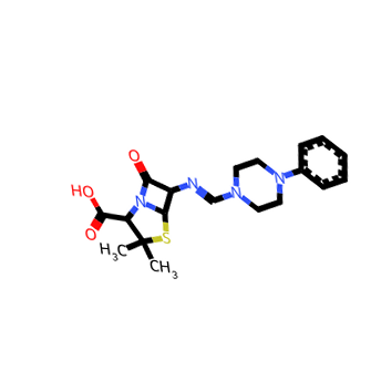 CC1(C)SC2C(N=CN3CCN(c4ccccc4)CC3)C(=O)N2C1C(=O)O